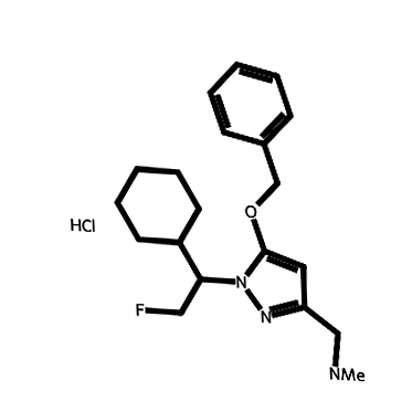 CNCc1cc(OCc2ccccc2)n(C(CF)C2CCCCC2)n1.Cl